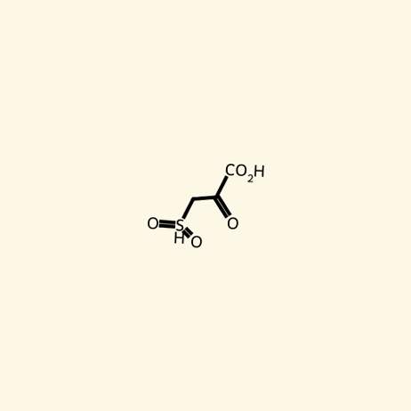 O=C(O)C(=O)C[SH](=O)=O